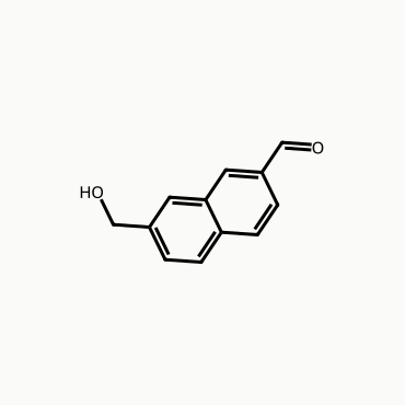 O=Cc1ccc2ccc(CO)cc2c1